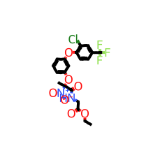 CCOC(=O)CNC(=O)C(C)(Oc1cccc(Oc2ccc(C(F)(F)F)cc2Cl)c1)[N+](=O)[O-]